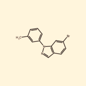 Cc1cccc(-n2ncc3ccc(Br)cc32)c1